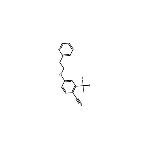 N#Cc1ccc(OCCc2ccccn2)cc1C(F)(F)F